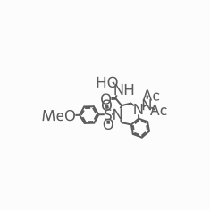 COc1ccc(S(=O)(=O)N2Cc3ccccc3N(N(C(C)=O)C(C)=O)CC2C(=O)NO)cc1